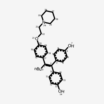 CCCCC(=C(c1ccc(O)cc1)c1ccc(O)cc1)c1ccc(OCCN2CCCCC2)cc1